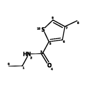 CCNC(=O)c1cc(C)cs1